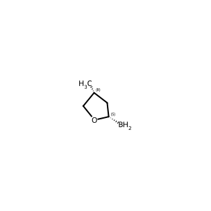 B[C@H]1C[C@@H](C)CO1